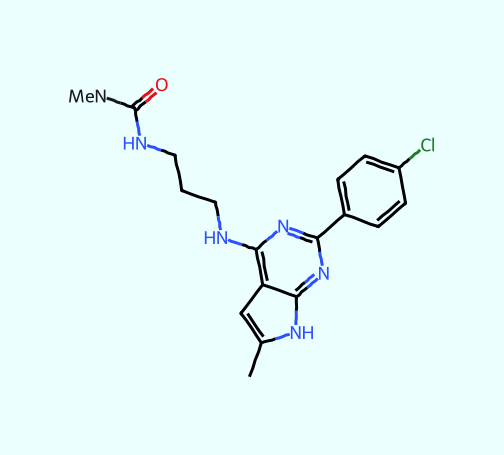 CNC(=O)NCCCNc1nc(-c2ccc(Cl)cc2)nc2[nH]c(C)cc12